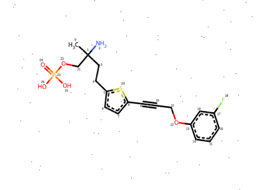 CC(N)(CCc1ccc(C#CCOc2cccc(F)c2)s1)COP(=O)(O)O